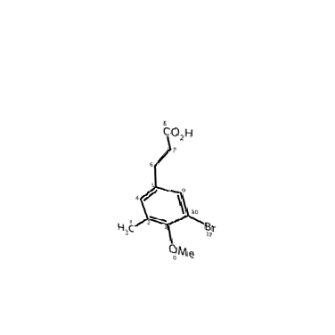 COc1c(C)cc(CCC(=O)O)cc1Br